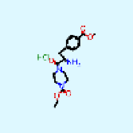 CCOC(=O)N1CCN(C(=O)[C@@H](N)Cc2ccc(C(=O)OC)cc2)CC1.Cl